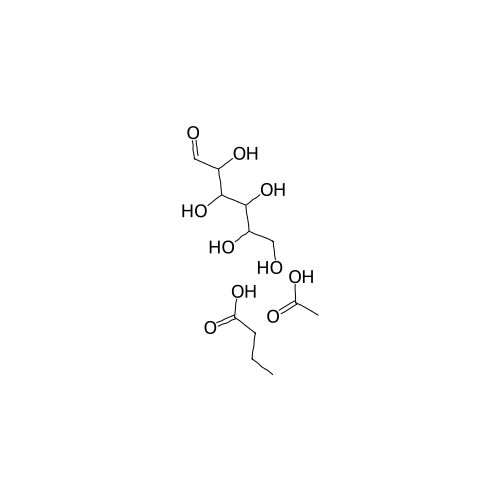 CC(=O)O.CCCC(=O)O.O=CC(O)C(O)C(O)C(O)CO